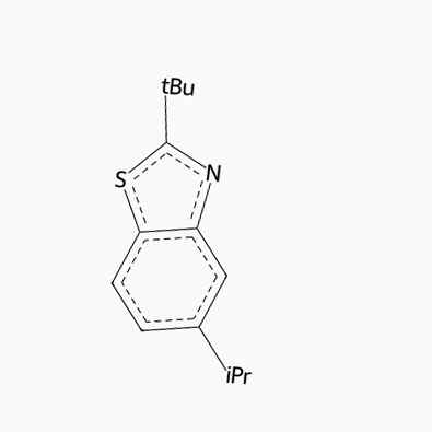 CC(C)c1ccc2sc(C(C)(C)C)nc2c1